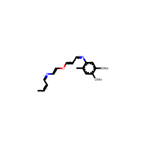 C\C=C/C=N\C=C\O/C=C/C=N\c1cc(OC)c(OC)cc1C